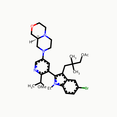 CCn1c(-c2cc(N3CCN4CCOC[C@@H]4C3)cnc2C(C)OC)c(CC(C)(C)COC(C)=O)c2cc(Br)ccc21